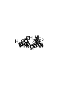 Cc1ccc(C(NC(=O)Cc2ccc3oc(C(c4ccncc4F)N4CC(N)C4)cc3c2)c2ccccc2)c(C)c1